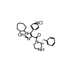 Cl.O=C(c1ncn(C2CCCCCC2O)c1-c1ccccc1)N1CCNC[C@H]1Cc1ccccc1